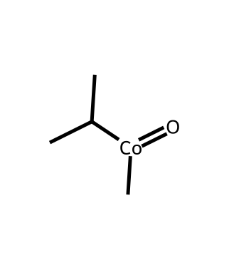 C[CH](C)[Co]([CH3])=[O]